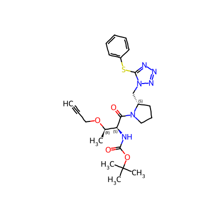 C#CCO[C@H](C)[C@H](NC(=O)OC(C)(C)C)C(=O)N1CCC[C@H]1Cn1nnnc1Sc1ccccc1